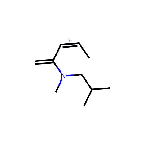 C=C(/C=C\C)N(C)CC(C)C